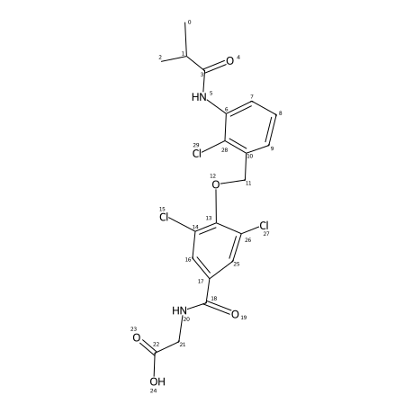 CC(C)C(=O)Nc1cccc(COc2c(Cl)cc(C(=O)NCC(=O)O)cc2Cl)c1Cl